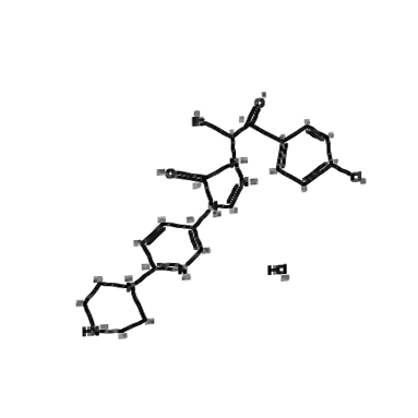 CCC(C(=O)c1ccc(Cl)cc1)n1ncn(-c2ccc(N3CCNCC3)nc2)c1=O.Cl